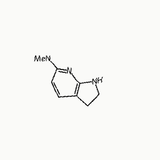 CNc1ccc2c(n1)NCC2